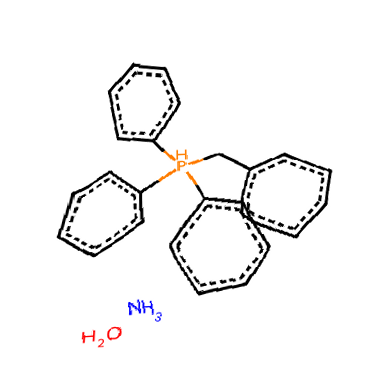 N.O.c1ccc(C[PH](c2ccccc2)(c2ccccc2)c2ccccc2)cc1